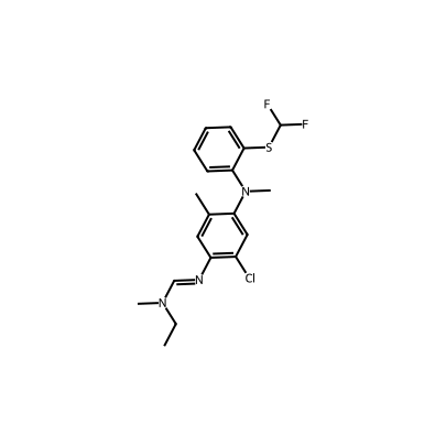 CCN(C)C=Nc1cc(C)c(N(C)c2ccccc2SC(F)F)cc1Cl